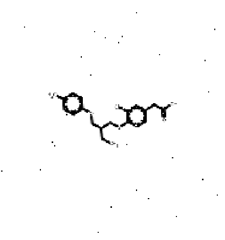 CCC(COc1ccc(C)cc1)CSc1ccc(CC(=O)O)cc1Cl